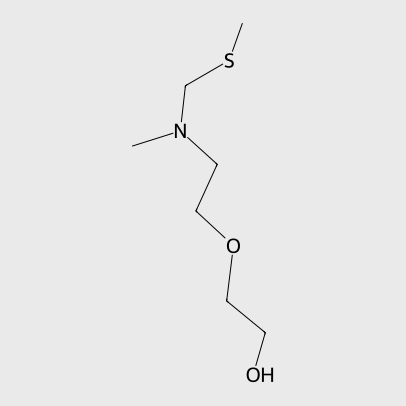 CSCN(C)CCOCCO